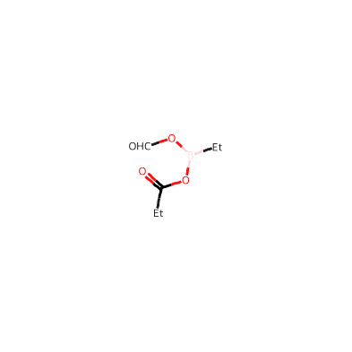 CCB(OC=O)OC(=O)CC